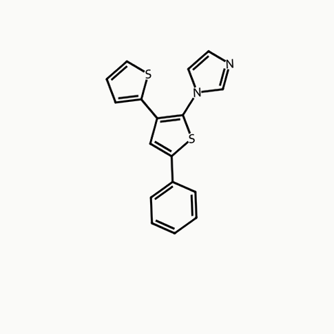 c1ccc(-c2cc(-c3cccs3)c(-n3ccnc3)s2)cc1